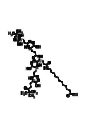 CC(C)(C)N[C@H](CCC(=O)N[C@H](CCC(=O)N[C@H](CCC(=O)NCCCCCCCCCCCC(=O)O)C(=O)N[C@H](CCC(=O)N[C@H](CCC(=O)C(C)(C)C)C(=O)O)C(=O)O)C(=O)O)C(=O)O